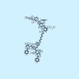 CC#CCn1c(N2CCC[C@@H](NC(=O)OC(C)(C)C)C2)nc2c1c(=O)n(Cc1nc(NCCCCCCCn3cc(CN(CC(O)C(O)[C@@H]4OC(c5ccccc5)OC[C@H]4O)CC(O)C(O)[C@@H]4OC(c5ccccc5)OC[C@H]4O)nn3)ccc1C(=O)O)c(=O)n2C